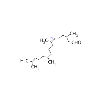 CC(C)=CCCC(C)CCC/C(C)=C\CCC(C)CC=O